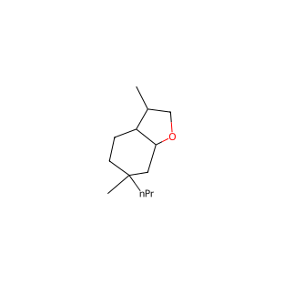 CCCC1(C)CCC2C(C)COC2C1